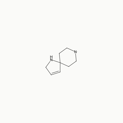 C1=CC2(CC[N]CC2)NC1